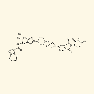 CC(C)(C)Oc1cc2nn(C3CCN(CC4(F)CN(c5ccc6c(c5)C(=O)N(C5CCC(=O)NC5=O)C6=O)C4)CC3)cc2cc1NC(=O)c1cnn2cccnc12